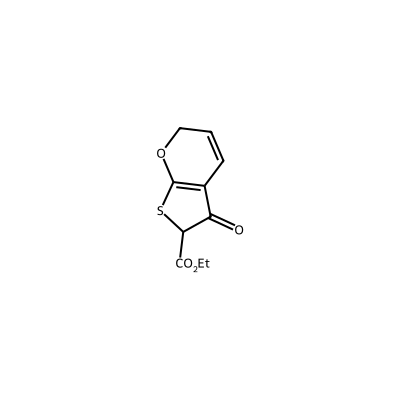 CCOC(=O)C1SC2=C(C=CCO2)C1=O